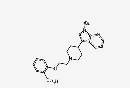 CCCCn1cc(C2CCN(CCOc3ccccc3C(=O)O)CC2)c2cccnc21